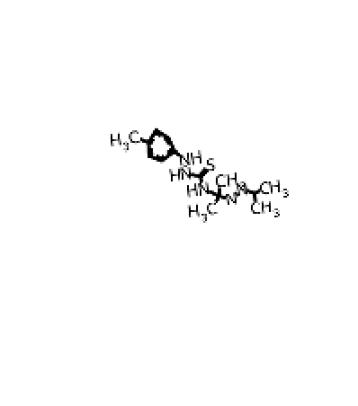 Cc1ccc(NNC(=S)NC(C)(C)N=NC(C)C)cc1